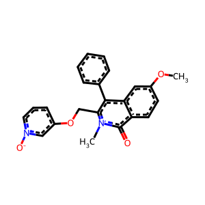 COc1ccc2c(=O)n(C)c(COc3ccc[n+]([O-])c3)c(-c3ccccc3)c2c1